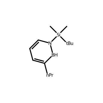 CCCC1=CC=CN([Si](C)(C)C(C)(C)C)B1